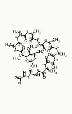 CN(CC(=O)O)C(=O)CN(C)C(=O)CN(C)C(=O)CN(C)C(=O)CN(C)C(=O)CN(C)C(=O)CN(C)C(=O)CN(C)C(=O)CN(C)C(=O)CN(C)C(=O)CNC(=O)CNC(=O)I